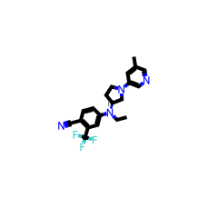 CCN(c1ccc(C#N)c(C(F)(F)F)c1)[C@H]1CCN(c2cncc(C)c2)C1